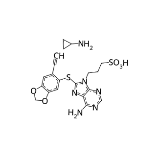 C#Cc1cc2c(cc1Sc1nc3c(N)ncnc3n1CCCS(=O)(=O)O)OCO2.NC1CC1